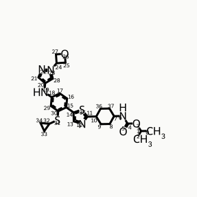 CC(C)OC(=O)NC1CCC(c2ncc(-c3ccc(Nc4cnn(C5COC5)c4)cc3SC3CC3)s2)CC1